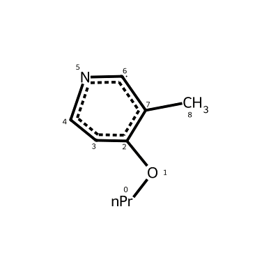 CCCOc1ccn[c]c1C